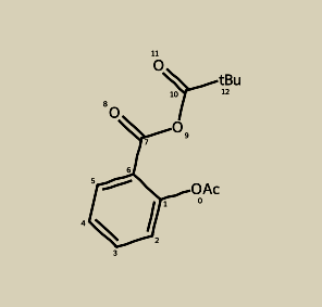 CC(=O)Oc1ccccc1C(=O)OC(=O)C(C)(C)C